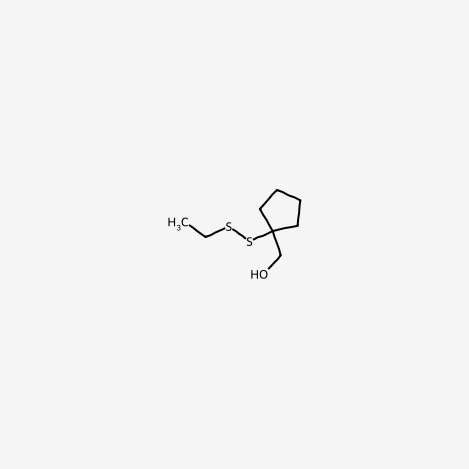 CCSSC1(CO)CCCC1